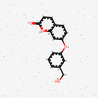 O=c1ccc2ccc(Oc3cccc(CO)c3)cc2o1